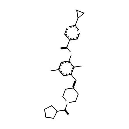 Cc1c(C=C2CCN(C(=O)C3CCCC3)CC2)cc(Cl)cc1NC(=O)c1cnc(C2CC2)nc1